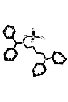 CS(=O)(=O)OP(CCCCP(c1ccccc1)c1ccccc1)C(c1ccccc1)c1ccccc1